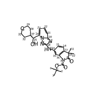 CC(C)(C)OC(=O)N1C(=O)C(C)(C)c2ccc(Nc3nc4cccc(C(O)C5CCOCC5)n4n3)cc21